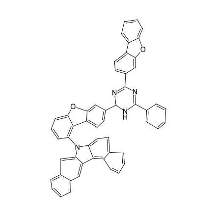 c1ccc(C2=NC(c3ccc4c(c3)oc3ccccc34)=NC(c3ccc4c(c3)oc3cccc(-n5c6cc7ccccc7cc6c6c7ccccc7ccc65)c34)N2)cc1